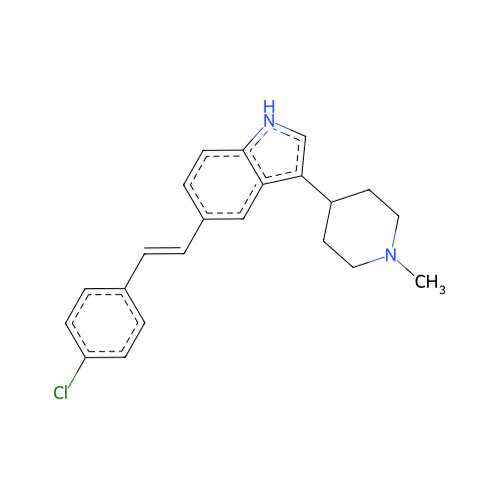 CN1CCC(c2c[nH]c3ccc(C=Cc4ccc(Cl)cc4)cc23)CC1